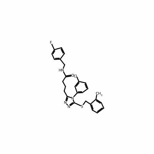 Cc1ccccc1CSc1nnc(CCCC(=O)NCc2ccc(F)cc2)n1-c1cccc(Cl)c1